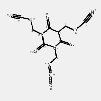 N#COCC1C(=O)N(CN=C=O)C(=O)N(COC#N)C1=O